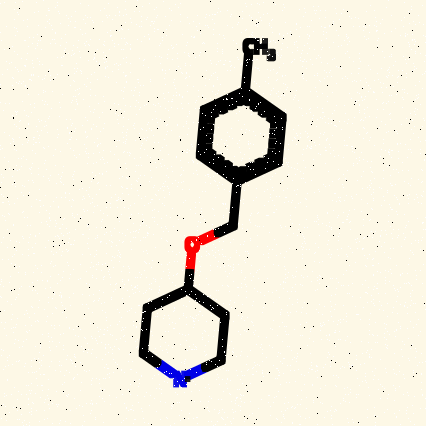 Cc1ccc(COC2CC[N]CC2)cc1